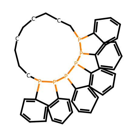 c1ccc(P2CCCCCCCCCP(c3ccccc3)P(c3ccccc3)P(c3ccccc3)P(c3ccccc3)P2c2ccccc2)cc1